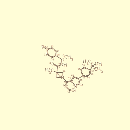 C[C@H](NC(=O)C1(C)CN(c2ncnn3cc(-c4ccc(C(C)(C)O)cc4)cc23)C1)c1ccc(F)cc1